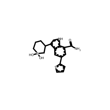 NC(=O)c1cc(-c2cccs2)cc2c(C3CCCS(O)(O)C3)c[nH]c12